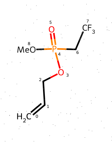 C=CCOP(=O)(CC(F)(F)F)OC